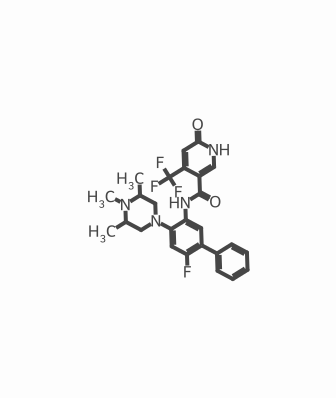 CC1CN(c2cc(F)c(-c3ccccc3)cc2NC(=O)c2c[nH]c(=O)cc2C(F)(F)F)CC(C)N1C